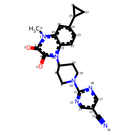 Cn1c(=O)c(=O)n(C2CCN(c3ncc(C#N)cn3)CC2)c2ccc(C3CC3)cc21